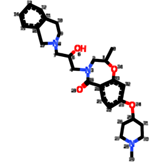 CC1CN(CC(O)CN2CCc3ccccc3C2)C(=O)c2ccc(OC3CCN(C)CC3)cc2O1